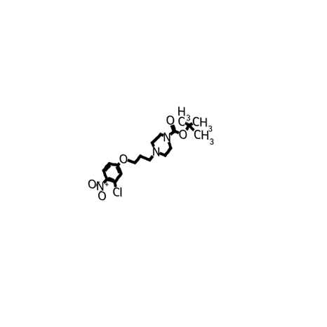 CC(C)(C)OC(=O)N1CCN(CCCOc2ccc([N+](=O)[O-])c(Cl)c2)CC1